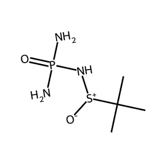 CC(C)(C)[S+]([O-])NP(N)(N)=O